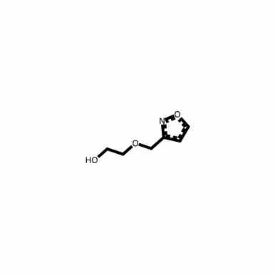 OCCOCc1ccon1